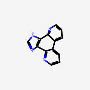 c1cnc2c(c1)c1cccnc1c1[nH]cnc21